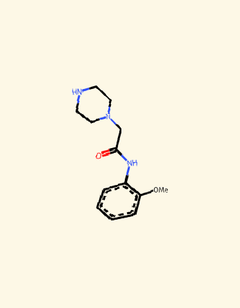 COc1ccccc1NC(=O)CN1CCNCC1